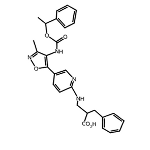 Cc1noc(-c2ccc(NCC(Cc3ccccc3)C(=O)O)nc2)c1NC(=O)OC(C)c1ccccc1